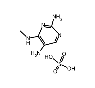 CNc1nc(N)ncc1N.O=S(=O)(O)O